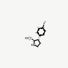 O=C(O)[C@@H]1NCC[C@H]1c1ccc(F)cc1